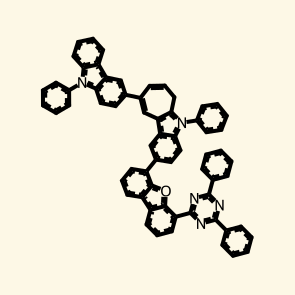 C1=CC(c2ccc3c(c2)c2ccccc2n3-c2ccccc2)=Cc2c(n(-c3ccccc3)c3ccc(-c4cccc5c4oc4c(-c6nc(-c7ccccc7)nc(-c7ccccc7)n6)cccc45)cc23)C1